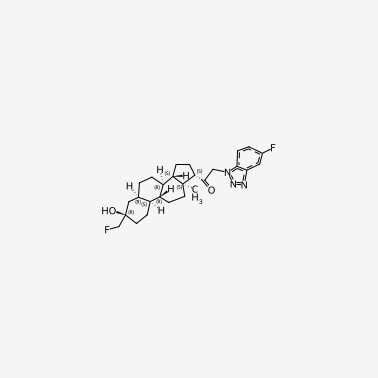 C[C@]12CC[C@H]3[C@@H](CC[C@@H]4C[C@@](O)(CF)CC[C@@H]43)[C@@H]1CC[C@@H]2C(=O)Cn1nnc2cc(F)ccc21